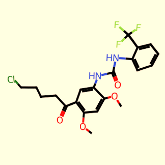 COc1cc(OC)c(C(=O)CCCCCl)cc1NC(=O)Nc1ccccc1C(F)(F)F